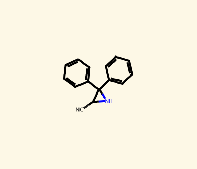 N#CC1NC1(c1ccccc1)c1ccccc1